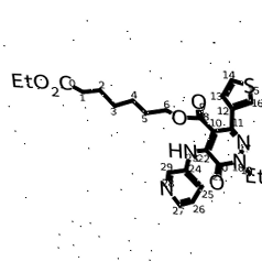 CCOC(=O)CCCCCCOC(=O)c1c(-c2ccsc2)nn(CC)c(=O)c1Nc1cccnc1